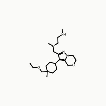 CCOC[C@]1(C)CC[C@@H](c2c(CN(C)CCNC)nn3c2COCC3)CC1